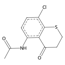 CC(=O)Nc1ccc(Cl)c2c1C(=O)CCS2